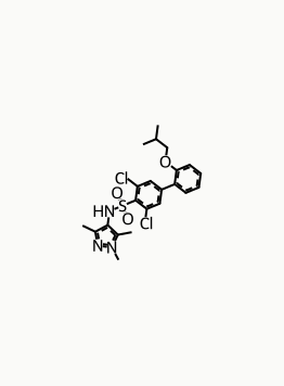 Cc1nn(C)c(C)c1NS(=O)(=O)c1c(Cl)cc(-c2ccccc2OCC(C)C)cc1Cl